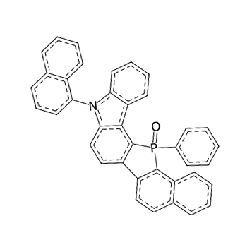 O=P1(c2ccccc2)c2c(ccc3ccccc23)-c2ccc3c(c21)c1ccccc1n3-c1cccc2ccccc12